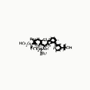 CC(C)(O)c1ccnc(-c2cccc3cc([C@H](N[S+]([O-])C(C)(C)C)c4nc(N(C(=O)O)C(=O)O)c(F)cc4Cl)sc23)c1